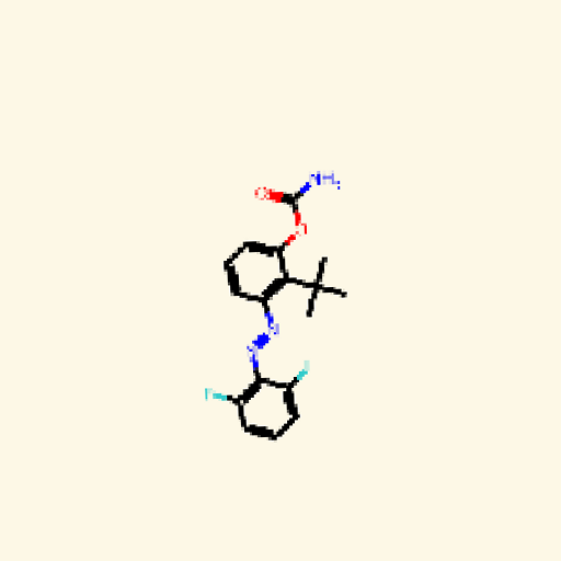 CC(C)(C)c1c(N=Nc2c(F)cccc2F)cccc1OC(N)=O